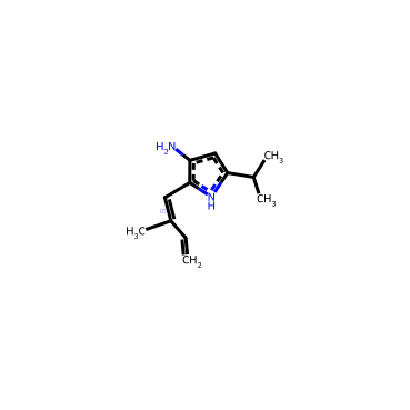 C=C/C(C)=C\c1[nH]c(C(C)C)cc1N